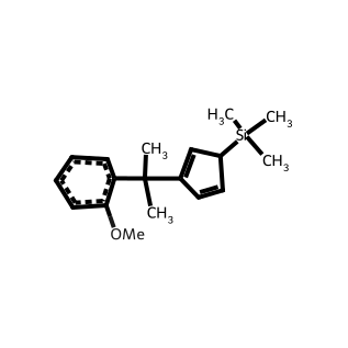 COc1ccccc1C(C)(C)C1=CC([Si](C)(C)C)C=C1